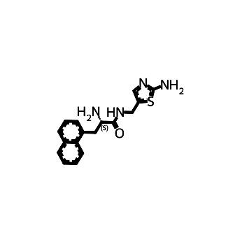 Nc1ncc(CNC(=O)[C@@H](N)Cc2cccc3ccccc23)s1